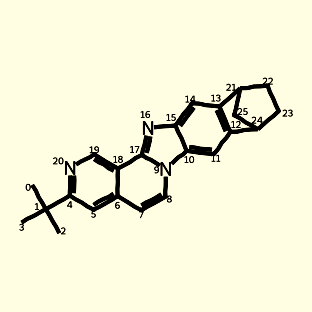 CC(C)(C)c1cc2ccn3c4cc5c(cc4nc3c2cn1)C1CCC5C1